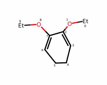 CCOC1=CCCC=C1OCC